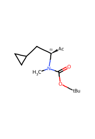 CC(=O)[C@H](CC1CC1)N(C)C(=O)OC(C)(C)C